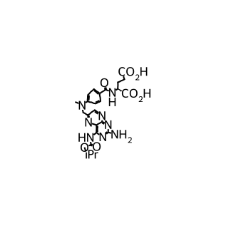 CC(C)OC(=O)Nc1nc(N)nc2ncc(CN(C)c3ccc(C(=O)N[C@@H](CCC(=O)O)C(=O)O)cc3)nc12